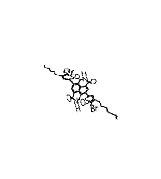 CCCCCCc1cc(-c2cc3c4c(c(-c5cc(CCCCCC)c(Br)s5)cc5c4c2C(=O)NC5=O)C(=O)NC3=O)sc1Br